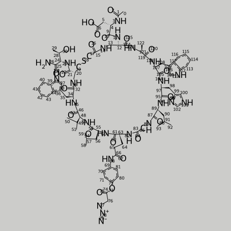 CC(=O)N[C@@H](CC(=O)O)C(=O)N[C@H]1CNC(=O)CSC[C@@H](C(=O)N[C@H](C(N)=O)[C@@H](C)O)NC(=O)[C@H](Cc2c[nH]c3ccccc23)NC(=O)[C@H](C(C)C)NC(=O)[C@H](CC(C)C)NC(=O)[C@H](CCC(=O)Nc2ccc(OC(=O)CN=[N+]=[N-])cc2)NC(=O)CNC(=O)[C@H](CC(C)C)NC(=O)[C@H](Cc2c[nH]cn2)NC(=O)[C@H](Cc2c[nH]c3ccccc23)NC(=O)[C@H](C)NC1=O